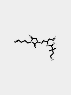 CC(C)(CCO)C(=O)NC(CN=O)CSC1CC(=O)N(CCCC=O)C1=O